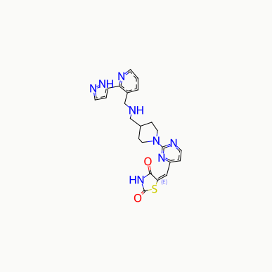 O=C1NC(=O)/C(=C\c2ccnc(N3CCC(CNCc4cccnc4-c4ccn[nH]4)CC3)n2)S1